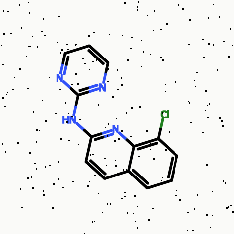 Clc1cccc2ccc(Nc3ncccn3)nc12